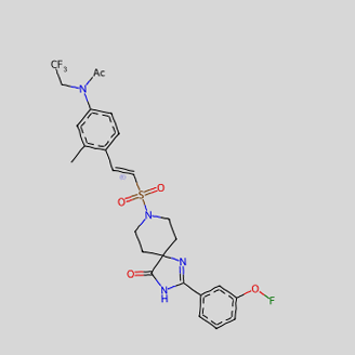 CC(=O)N(CC(F)(F)F)c1ccc(/C=C/S(=O)(=O)N2CCC3(CC2)N=C(c2cccc(OF)c2)NC3=O)c(C)c1